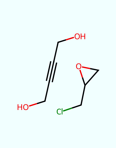 ClCC1CO1.OCC#CCO